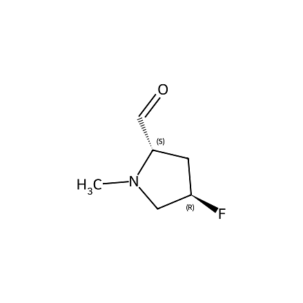 CN1C[C@H](F)C[C@H]1C=O